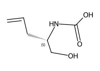 C=CC[C@@H](CO)NC(=O)O